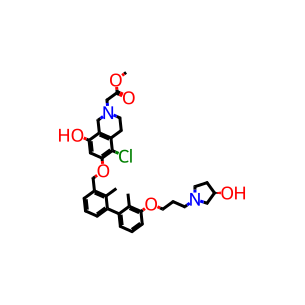 COC(=O)CN1CCc2c(Cl)c(OCc3cccc(-c4cccc(OCCCN5CC[C@@H](O)C5)c4C)c3C)cc(O)c2C1